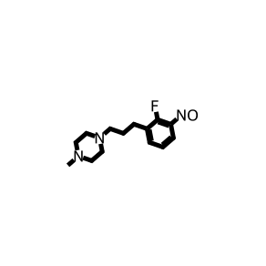 CN1CCN(CCCc2cccc(N=O)c2F)CC1